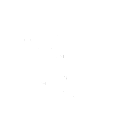 C=C(O)C(NC(=O)OCCCC)n1nnc2ccccc21